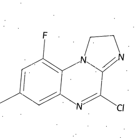 Fc1cc(Cl)cc2c1N1CCN=C1C(Cl)=N2